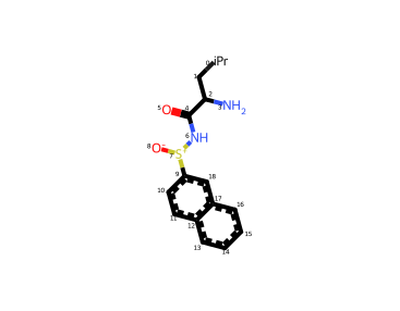 CC(C)CC(N)C(=O)N[S+]([O-])c1ccc2ccccc2c1